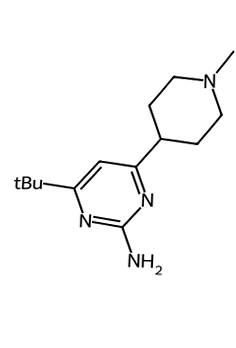 CN1CCC(c2cc(C(C)(C)C)nc(N)n2)CC1